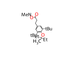 CCC(C)(CC)Oc1c(C(C)(C)C)cc(CCC(=O)ONC)cc1C(C)(C)C